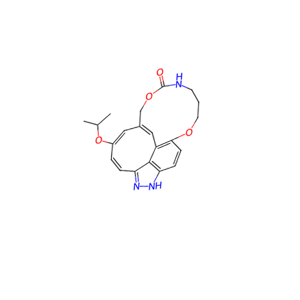 CC(C)OC1=CC2=Cc3c(ccc4[nH]nc(c34)C=C1)OCCCNC(=O)OC2